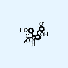 CCOC(=O)c1[nH]c2ccc(O)c(Cc3cccc(OC)c3)c2c1-c1cccc(O)c1